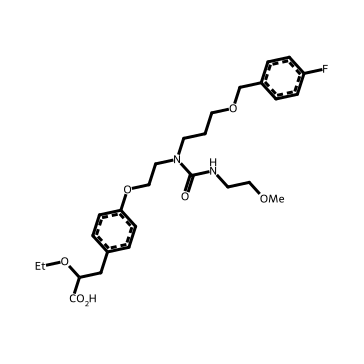 CCOC(Cc1ccc(OCCN(CCCOCc2ccc(F)cc2)C(=O)NCCOC)cc1)C(=O)O